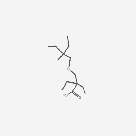 CCC(C)(CC)COCC(CC)(CC)C(=O)O